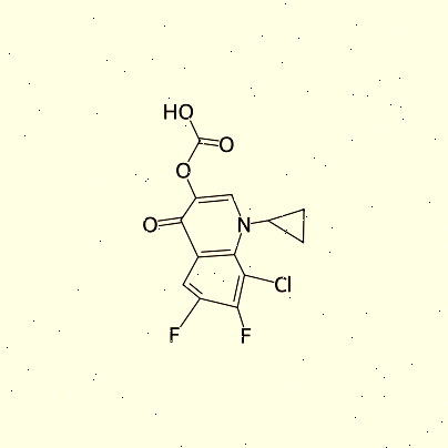 O=C(O)Oc1cn(C2CC2)c2c(Cl)c(F)c(F)cc2c1=O